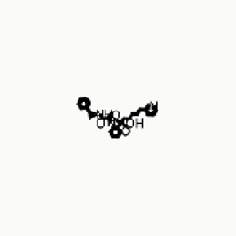 O=C(NC1CC1c1ccccc1)c1coc(C(CCCC=Cc2cccnc2)(C(=O)O)c2ccccc2)n1